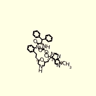 COC(=O)N[C@H](C(=O)Nc1ccccc1CC[C@@H]1CNCC(CSc2ncnc3c2cnn3C)O1)C(c1ccccc1)c1ccccc1